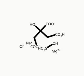 O=C([O-])CC(O)(CC(=O)O)C(=O)[O-].O=S(=O)(O)O.[Cl-].[Mg+2].[Na+]